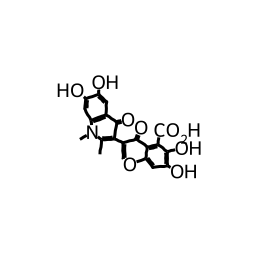 Cc1c(-c2coc3cc(O)c(O)c(C(=O)O)c3c2=O)c(=O)c2cc(O)c(O)cc2n1C